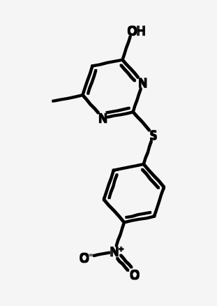 Cc1cc(O)nc(Sc2ccc([N+](=O)[O-])cc2)n1